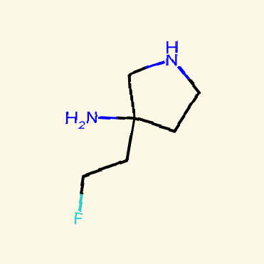 NC1(CCF)CCNC1